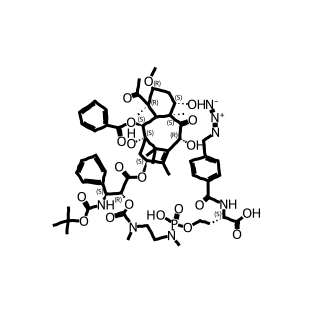 CO[C@@H]1C[C@H](O)[C@@]2(C)C(=O)[C@H](O)C3=C(C)[C@@H](OC(=O)[C@H](OC(=O)N(C)CCN(C)P(=O)(O)OCC[C@H](NC(=O)c4ccc(CN=[N+]=[N-])cc4)C(=O)O)[C@@H](NC(=O)OC(C)(C)C)c4ccccc4)C[C@@](O)([C@@H](OC(=O)c4ccccc4)C2[C@@]1(C)C(C)=O)C3(C)C